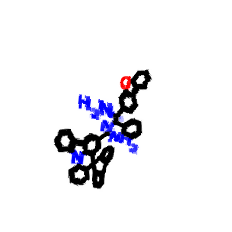 N/C(=N\C(=C(/N)c1ccc2c(c1)oc1ccccc12)c1ccccc1)c1cc2c3c(c1)c1ccccc1n3-c1ccccc1C21c2ccccc2-c2ccccc21